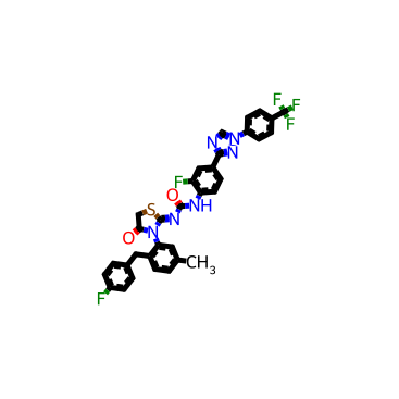 Cc1ccc(Cc2ccc(F)cc2)c(N2C(=O)CS/C2=N\C(=O)Nc2ccc(-c3ncn(-c4ccc(C(F)(F)F)cc4)n3)cc2F)c1